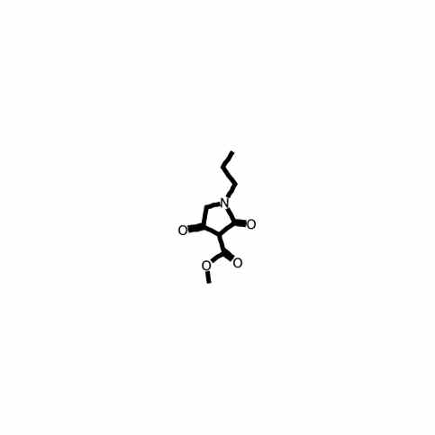 CCCN1CC(=O)C(C(=O)OC)C1=O